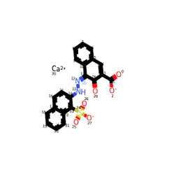 O=C([O-])C1=Cc2ccccc2/C(=N/Nc2ccc3ccccc3c2S(=O)(=O)[O-])C1=O.[Ca+2]